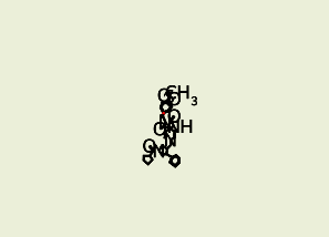 CS(=O)(=O)c1ccc(CN2C(=O)NC3(CCN(CC4CN(C(=O)C5CCCC5)CC4c4ccccc4)CC3)C2=O)cc1